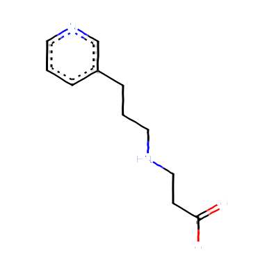 O=C(O)CCNCCCc1cccnc1